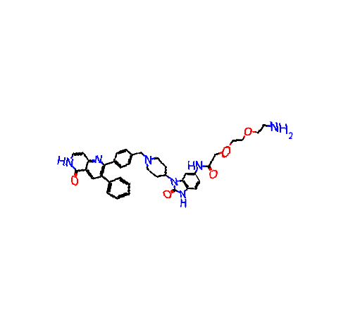 NCCOCCOCC(=O)Nc1ccc2[nH]c(=O)n(C3CCN(Cc4ccc(-c5nc6cc[nH]c(=O)c6cc5-c5ccccc5)cc4)CC3)c2c1